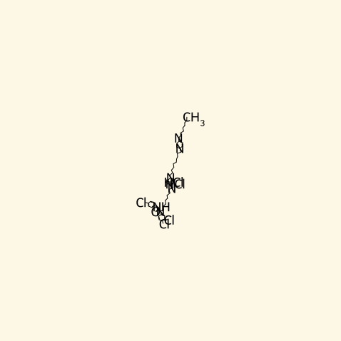 CCCCCCCCN=c1ccn(CCCCCCCCCCn2ccc(=NCCCCCCCCN(C(=O)Nc3ccc(Cl)cc3)c3ccc(Cl)c(Cl)c3)cc2)cc1.Cl.Cl